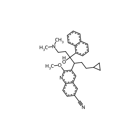 COc1nc2ccc(C#N)cc2cc1C(CCC1CC1)C(O)(CCN(C)C)c1cccc2ccccc12